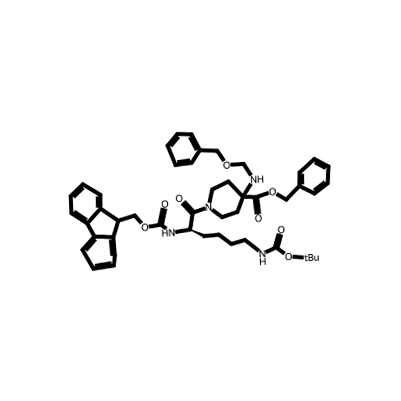 CC(C)(C)OC(=O)NCCCC[C@@H](NC(=O)OCC1c2ccccc2-c2ccccc21)C(=O)N1CCC(NCOCc2ccccc2)(C(=O)OCc2ccccc2)CC1